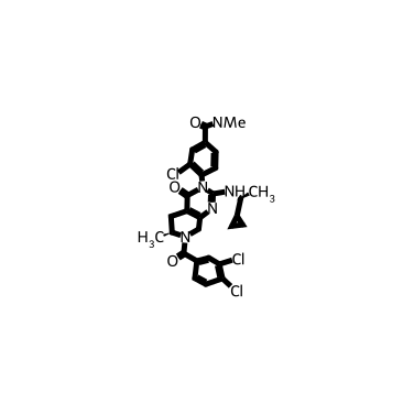 CNC(=O)c1ccc(-n2c(N[C@@H](C)C3CC3)nc3c(c2=O)C[C@@H](C)N(C(=O)c2ccc(Cl)c(Cl)c2)C3)c(Cl)c1